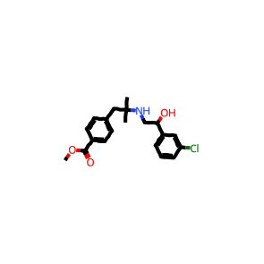 COC(=O)c1ccc(CC(C)(C)NCC(O)c2cccc(Cl)c2)cc1